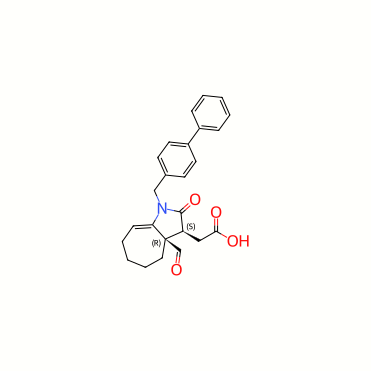 O=C[C@@]12CCCCC=C1N(Cc1ccc(-c3ccccc3)cc1)C(=O)[C@H]2CC(=O)O